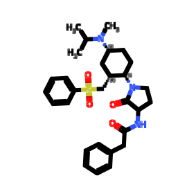 CC(C)N(C)[C@@H]1CC[C@H](N2CCC(NC(=O)Cc3ccccc3)C2=O)[C@H](CS(=O)(=O)c2ccccc2)C1